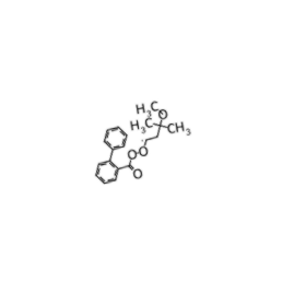 COC(C)(C)C[CH]OOC(=O)c1ccccc1-c1ccccc1